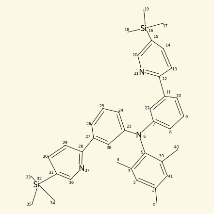 Cc1cc(C)c(N(c2cccc(-c3ccc([Si](C)(C)C)cn3)c2)c2cccc(-c3ccc([Si](C)(C)C)cn3)c2)c(C)c1